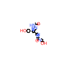 COC[C@H](C)Nc1ncc2c(-c3cnn(C(C)(C)C(=O)N4CCC(C)(O)C4)c3)cc([C@H]3CC[C@H](O)CC3)n2n1